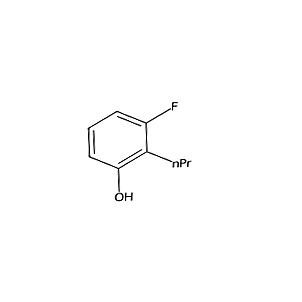 CCCc1c(O)cccc1F